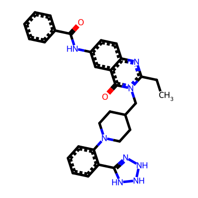 CCc1nc2ccc(NC(=O)c3ccccc3)cc2c(=O)n1CC1CCN(c2ccccc2C2=NNNN2)CC1